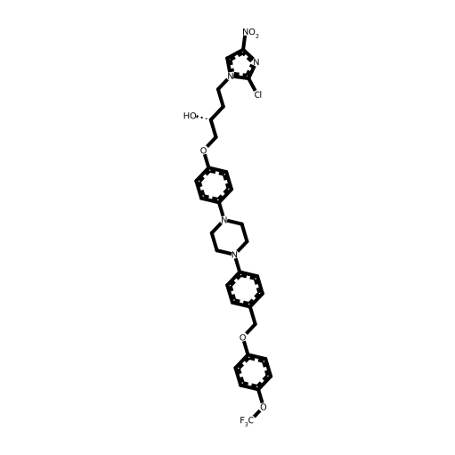 O=[N+]([O-])c1cn(CC[C@@H](O)COc2ccc(N3CCN(c4ccc(COc5ccc(OC(F)(F)F)cc5)cc4)CC3)cc2)c(Cl)n1